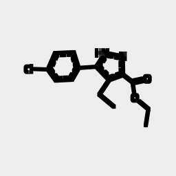 CCOC(=O)c1n[nH]c(-c2ccc(Cl)cc2)c1CC